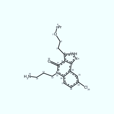 CCCOCCc1[nH]nc2c1c(=O)n(CCCN)c1ccc(Cl)cc21